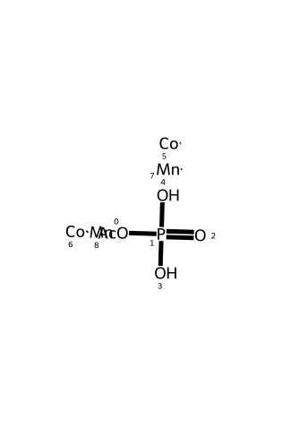 CC(=O)OP(=O)(O)O.[Co].[Co].[Mn].[Mn]